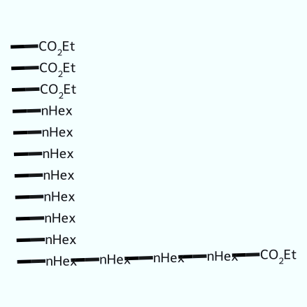 CCCCCCC.CCCCCCC.CCCCCCC.CCCCCCC.CCCCCCC.CCCCCCC.CCCCCCC.CCCCCCC.CCCCCCC.CCCCCCC.CCCCCCC.CCOC(C)=O.CCOC(C)=O.CCOC(C)=O.CCOC(C)=O